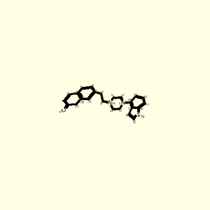 O=C1C=Cc2ccc(CCN3CCN(c4cccc5sccc45)CC3)cc2C1